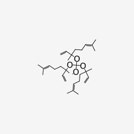 C=CC(C)(CCC=C(C)C)OC(OC)(OC(C)(C=C)CCC=C(C)C)OC(C)(C=C)CCC=C(C)C